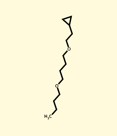 CCCCOCCCCOCCC1CC1